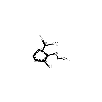 CCOc1c(S)cccc1C(=O)O